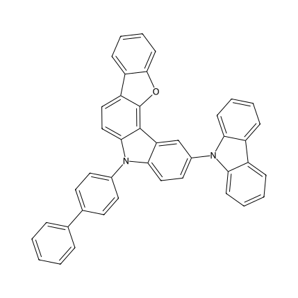 c1ccc(-c2ccc(-n3c4ccc(-n5c6ccccc6c6ccccc65)cc4c4c5oc6ccccc6c5ccc43)cc2)cc1